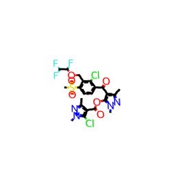 Cc1nn(C)c(Cl)c1C(=O)Oc1c(C(=O)c2ccc(S(C)(=O)=O)c(COC(F)C(F)F)c2Cl)c(C)nn1C